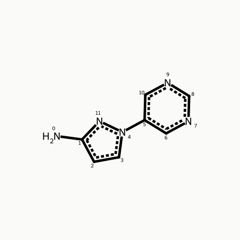 Nc1ccn(-c2cncnc2)n1